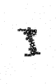 CCCCC[C@@H](C(=O)NCNC(=O)c1ccc(-c2ccc(C(=O)N[C@H](CC(=O)OC)C(=O)OC)cc2)o1)[C@@H](CC)N(C=O)OCc1ccccc1